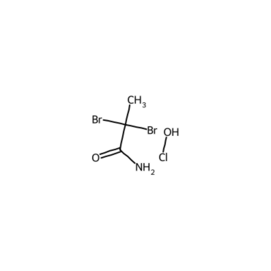 CC(Br)(Br)C(N)=O.OCl